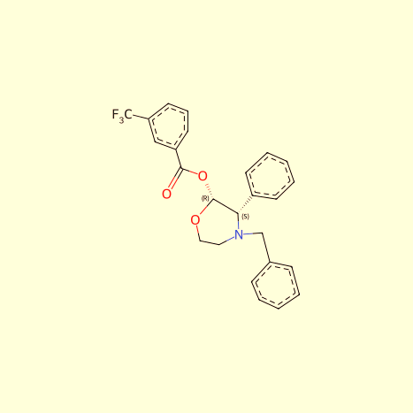 O=C(O[C@H]1OCCN(Cc2ccccc2)[C@H]1c1ccccc1)c1cccc(C(F)(F)F)c1